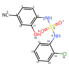 N#Cc1ccc(NS(=O)(=O)Nc2ccccc2Cl)c(O)c1